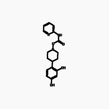 O=C(Nc1ccccn1)ON1CCC(c2ccc(O)cc2O)CC1